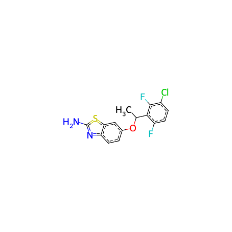 CC(Oc1ccc2nc(N)sc2c1)c1c(F)ccc(Cl)c1F